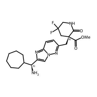 COC(=O)[C@]1(Cc2ccc3nc([C@@H](N)C4CCCCCC4)cn3n2)CC(F)(F)CNC1=O